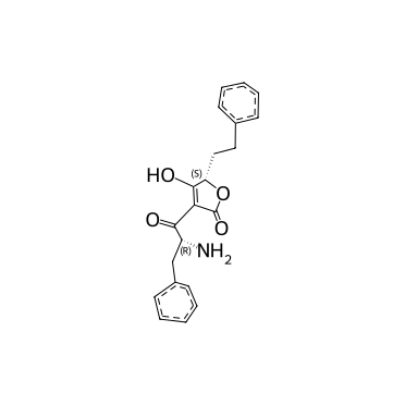 N[C@H](Cc1ccccc1)C(=O)C1=C(O)[C@H](CCc2ccccc2)OC1=O